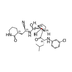 CC(C)C[C@@H](Nc1cccc(Cl)c1)C(=O)N1[C@@H]2CC[C@H]([C@@H]1C(=O)N[C@H](C#N)C[C@@H]1CCCNC1=O)C(F)(F)C2